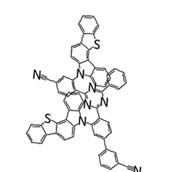 N#Cc1cccc(-c2ccc(-c3nc(-c4ccccc4)nc(-c4ccc(C#N)cc4-n4c5ccccc5c5c6sc7ccccc7c6ccc54)n3)c(-n3c4ccccc4c4c5sc6ccccc6c5ccc43)c2)c1